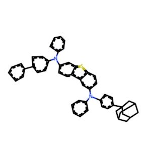 c1ccc(-c2ccc(N(c3ccccc3)c3ccc4c(c3)sc3ccc(N(c5ccccc5)c5ccc(C67CC8CC(CC(C8)C6)C7)cc5)cc34)cc2)cc1